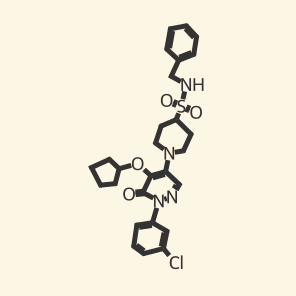 O=c1c(OC2CCCC2)c(N2CCC(S(=O)(=O)NCc3ccccc3)CC2)cnn1-c1cccc(Cl)c1